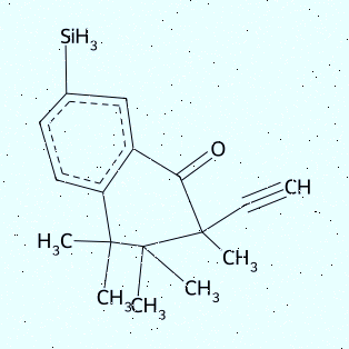 C#CC1(C)C(=O)c2cc([SiH3])ccc2C(C)(C)C1(C)C